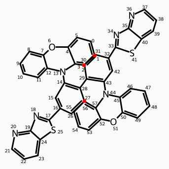 c1ccc2c(c1)Oc1ccccc1N2c1cc(-c2nc3ncccc3s2)ccc1-c1ccc(-c2nc3ncccc3s2)cc1N1c2ccccc2Oc2ccccc21